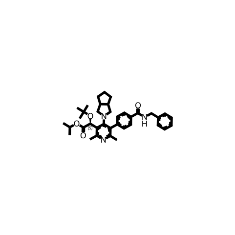 Cc1nc(C)c([C@H](OC(C)(C)C)C(=O)OC(C)C)c(N2CC3CCCC3C2)c1-c1ccc(C(=O)NCc2ccccc2)cc1